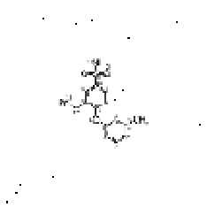 Cc1cccc(Oc2ccc(S(N)(=O)=O)cc2CC(C)C)c1